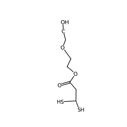 O=C(CC(S)S)OCCOCCO